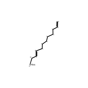 C=CCCCCCCC=CCCCCCCC